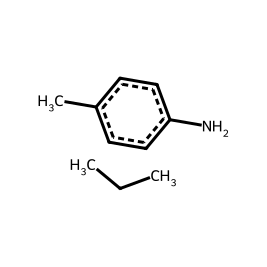 CCC.Cc1ccc(N)cc1